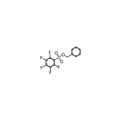 O=S(=O)(OCc1ccccc1)c1c(F)c(F)c(F)c(F)c1F